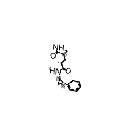 C[C@@H](C[CH]C(=O)N[C@H]1C[C@@H]1c1ccccc1)C(N)=O